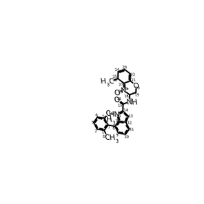 Cc1cccc(C)c1-c1cccc2cc(C(=O)NC3COC4=CC=CC(C)C4=[N+]3[O-])[nH]c12